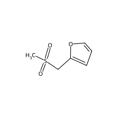 CS(=O)(=O)Cc1ccco1